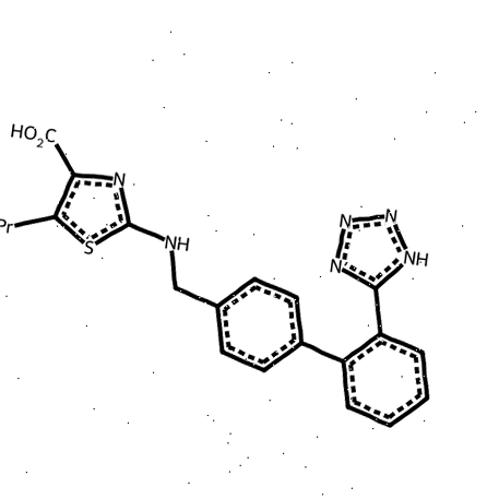 CCCc1sc(NCc2ccc(-c3ccccc3-c3nnn[nH]3)cc2)nc1C(=O)O